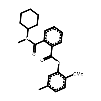 COc1ccc(C)cc1NC(=O)c1ccccc1C(=O)N(C)C1CCCCC1